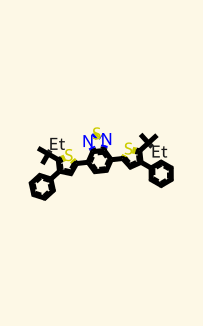 CCC(C)(C)c1sc(-c2ccc(-c3cc(-c4ccccc4)c(C(C)(C)CC)s3)c3nsnc23)cc1-c1ccccc1